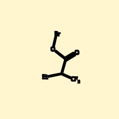 CCC(C(=O)OBr)C(F)(F)F